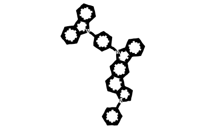 c1ccc(-n2ccc3c4cc5c6ccccc6n(-c6ccc(-n7c8ccccc8c8ccccc87)cc6)c5cc4ccc32)cc1